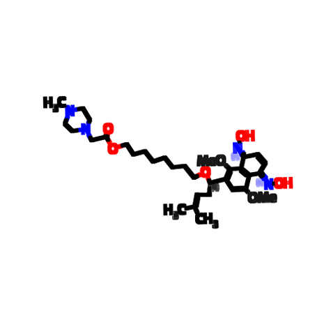 COc1cc([C@@H](CC=C(C)C)OCCCCCCCCOC(=O)CN2CCN(C)CC2)c(OC)c2c1/C(=N/O)C=C/C2=N\O